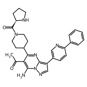 CC(=O)c1c(C2CCN(C(=O)[C@H]3CCCN3)CC2)nc2c(-c3ccc(-c4ccccc4)nc3)cnn2c1N